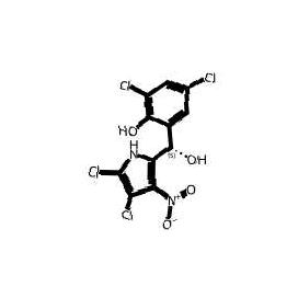 O=[N+]([O-])c1c([C@@H](O)c2cc(Cl)cc(Cl)c2O)[nH]c(Cl)c1Cl